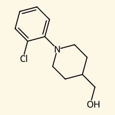 OCC1CCN(c2ccccc2Cl)CC1